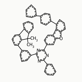 CC1(C)c2ccccc2-c2cccc(-c3cccc(-c4nc(-c5ccccc5)nc(-c5ccc6c(c5)oc5cccc(-c7ccc(-c8ccccc8)cc7)c56)n4)c3)c21